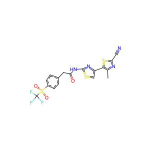 Cc1nc(C#N)sc1-c1csc(NC(=O)Cc2ccc(S(=O)(=O)C(F)(F)F)cc2)n1